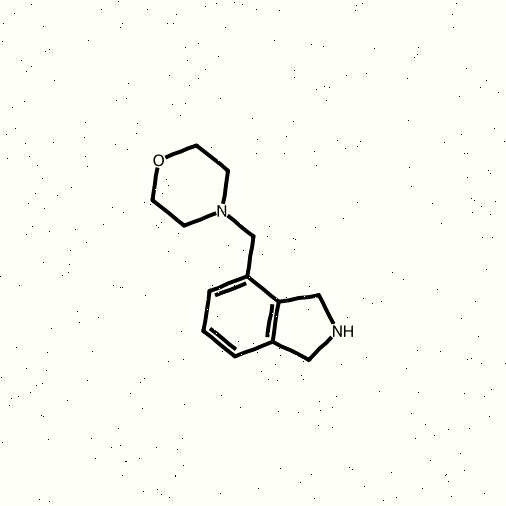 c1cc2c(c(CN3CCOCC3)c1)CNC2